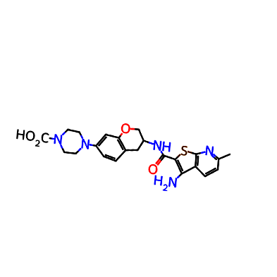 Cc1ccc2c(N)c(C(=O)NC3COc4cc(N5CCN(C(=O)O)CC5)ccc4C3)sc2n1